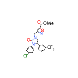 COC(=O)c1cc(CN2CC(c3cccc(C(F)(F)F)c3)N(c3ccc(Cl)cc3)C2=O)no1